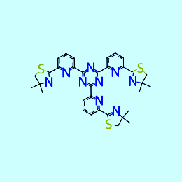 CC1(C)CSC(c2cccc(-c3nc(-c4cccc(C5=NC(C)(C)CS5)n4)nc(-c4cccc(C5=NC(C)(C)CS5)n4)n3)n2)=N1